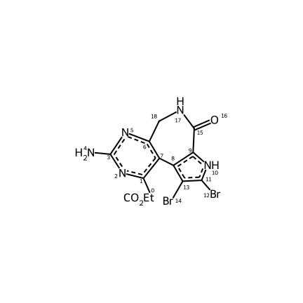 CCOC(=O)c1nc(N)nc2c1-c1c([nH]c(Br)c1Br)C(=O)NC2